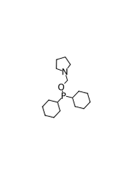 C1CCC(P(OCN2CCCC2)C2CCCCC2)CC1